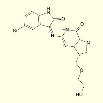 O=C1Nc2ccc(Br)cc2/C1=N/C1=NC2C(N=CN2COCCO)C(=O)N1